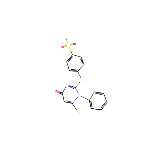 CS(=O)(=O)c1ccc(Nc2nc(=O)cc(N)n2-c2ccccc2)cc1